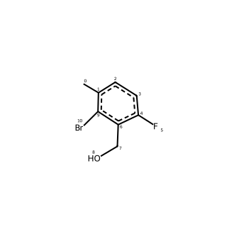 Cc1ccc(F)c(CO)c1Br